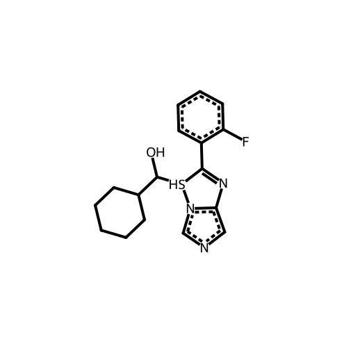 OC(C1CCCCC1)[SH]1C(c2ccccc2F)=Nc2cncn21